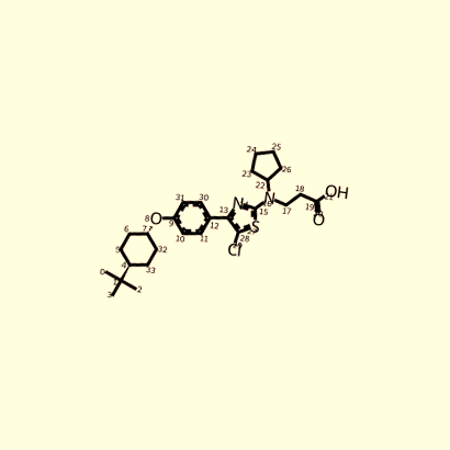 CC(C)(C)[C@H]1CC[C@H](Oc2ccc(-c3nc(N(CCC(=O)O)C4CCCC4)sc3Cl)cc2)CC1